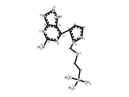 C[Si](C)(C)CCOCn1nccc1-c1nc(N)nc2nn[nH]c12